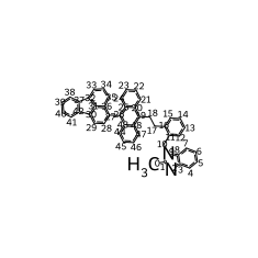 Cc1nc2ccccc2n1Cc1ccccc1CCc1c2ccccc2c(-c2ccc3c4c(cccc24)-c2ccccc2-3)c2ccccc12